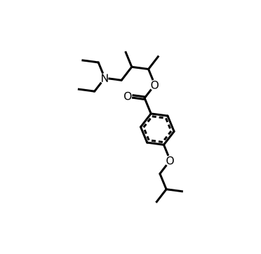 CCN(CC)CC(C)C(C)OC(=O)c1ccc(OCC(C)C)cc1